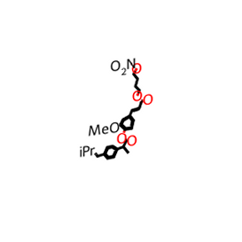 COc1cc(C=CC(=O)OCCCCO[N+](=O)[O-])ccc1OC(=O)C(C)c1ccc(CC(C)C)cc1